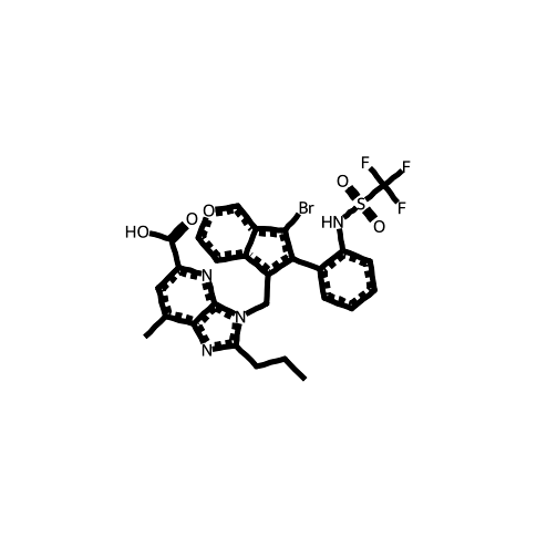 CCCc1nc2c(C)cc(C(=O)O)nc2n1Cc1c2ccocc-2c(Br)c1-c1ccccc1NS(=O)(=O)C(F)(F)F